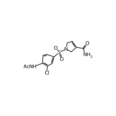 CC(=O)Nc1ccc(S(=O)(=O)N2CC=C(C(N)=O)C2)cc1Cl